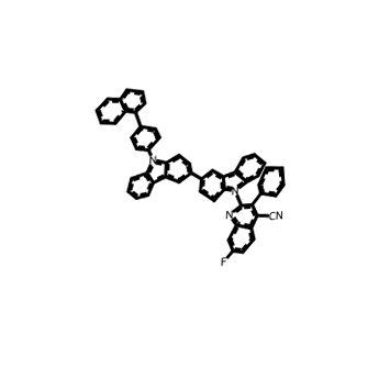 N#Cc1c(-c2ccccc2)c(-n2c3ccccc3c3cc(-c4ccc5c(c4)c4ccccc4n5-c4ccc(-c5cccc6ccccc56)cc4)ccc32)nc2cc(F)ccc12